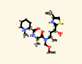 CCCCCOCN(C(=O)[C@@H](NC(=O)[C@H]1CCCCN1C)[C@@H](C)CC)[C@H](C[C@@H](O)c1nc(C(=O)O)cs1)C(C)C